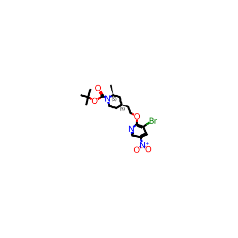 C[C@H]1C[C@@H](CCOc2ncc([N+](=O)[O-])cc2Br)CCN1C(=O)OC(C)(C)C